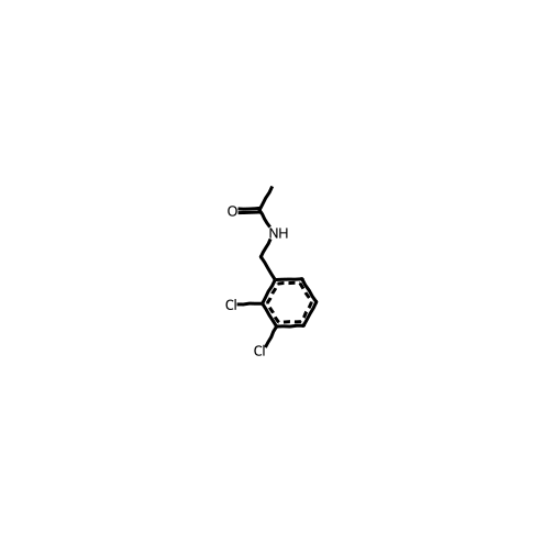 CC(=O)NCc1cccc(Cl)c1Cl